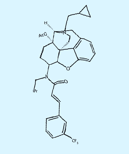 CC(=O)O[C@@]12CCC(N(CC(C)C)C(=O)/C=C/c3cccc(C(F)(F)F)c3)C3Oc4cccc5c4[C@@]31CCN(CC1CC1)[C@@H]2C5